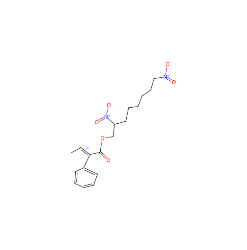 C/C=C(/C(=O)OCC(CCCCCC[N+](=O)[O-])[N+](=O)[O-])c1ccccc1